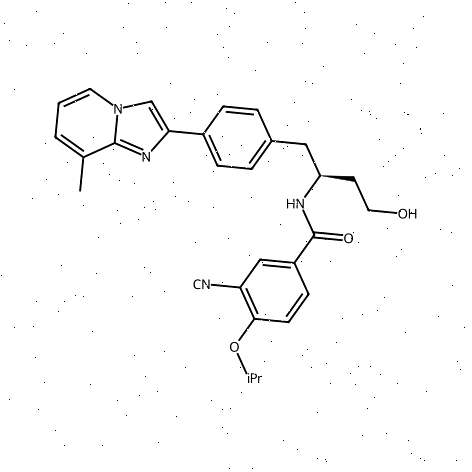 [C-]#[N+]c1cc(C(=O)N[C@H](CCO)Cc2ccc(-c3cn4cccc(C)c4n3)cc2)ccc1OC(C)C